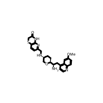 COc1ccc2nccc(C[C@@H](N)[C@@H]3CC[C@@H](NCc4ccc5c(n4)NC(=O)CS5)CO3)c2c1